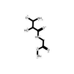 CCC(N)C(O)C(=O)NCC(=O)OC(C)(C)C